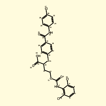 O=C(Nc1c(Cl)cccc1Cl)OCCC(Sc1ccc(C(=O)Nc2ccc(Cl)cc2)cc1)C(=O)O